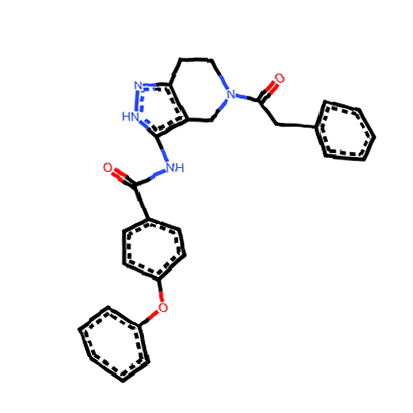 O=C(Nc1[nH]nc2c1CN(C(=O)Cc1ccccc1)CC2)c1ccc(Oc2ccccc2)cc1